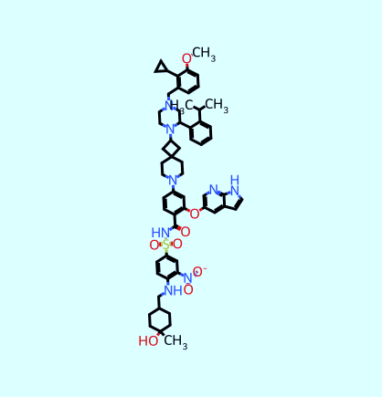 COc1cccc(CN2CCN(C3CC4(CCN(c5ccc(C(=O)NS(=O)(=O)c6ccc(NCC7CCC(C)(O)CC7)c([N+](=O)[O-])c6)c(Oc6cnc7[nH]ccc7c6)c5)CC4)C3)C(c3ccccc3C(C)C)C2)c1C1CC1